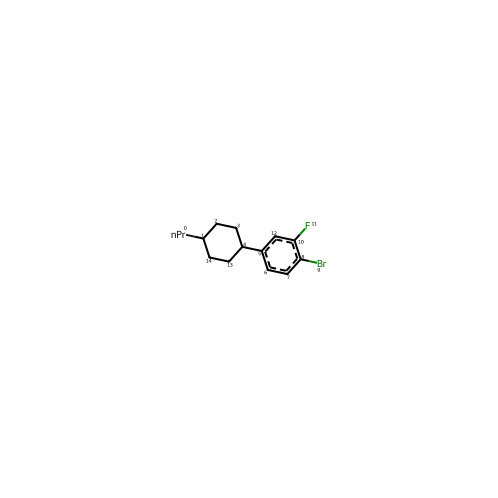 CCCC1CCC(c2ccc(Br)c(F)c2)CC1